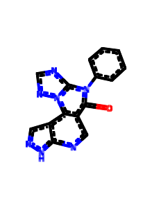 O=c1c2cnc3[nH]ncc3c2n2ncnc2n1-c1ccccc1